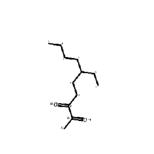 CCCCC(CC)CCC(=O)C(C)=O